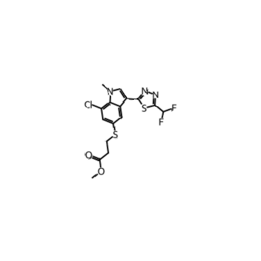 COC(=O)CCSc1cc(Cl)c2c(c1)c(-c1nnc(C(F)F)s1)cn2C